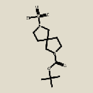 CC(C)(C)OC(=O)N1CCC2(CCN(S(=O)(=O)Cl)C2)C1